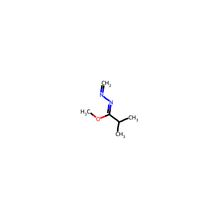 C=N/N=C(\OC)C(C)C